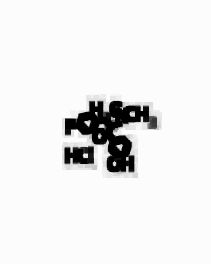 CN(C)C[C@H](Cc1ccc(F)cc1)C(=O)c1cccc(O)c1.Cl